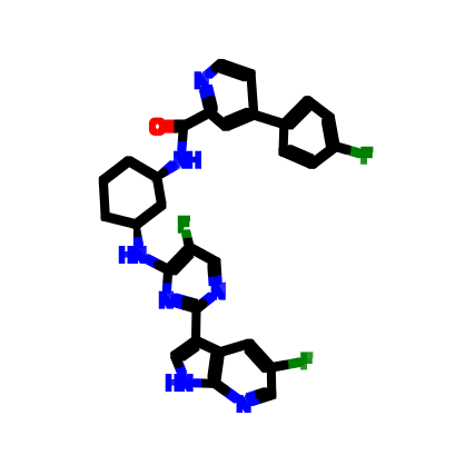 O=C(N[C@@H]1CCC[C@H](Nc2nc(-c3c[nH]c4ncc(F)cc34)ncc2F)C1)c1cc(-c2ccc(F)cc2)ccn1